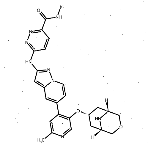 CCNC(=O)c1ccc(Nc2cc3cc(-c4cc(C)ncc4O[C@H]4C[C@H]5COC[C@@H](C4)N5)ccn3n2)nn1